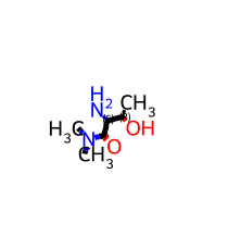 C[C@@H](O)[C@H](N)C(=O)N(C)C